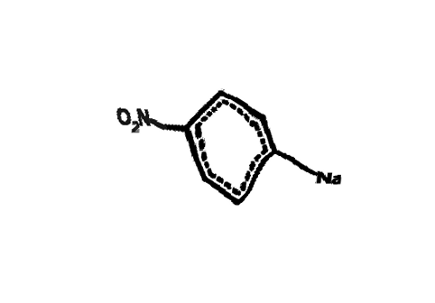 O=[N+]([O-])c1cc[c]([Na])cc1